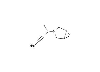 C[C@@H](C#CC(C)(C)C)N1CC2CC2C1